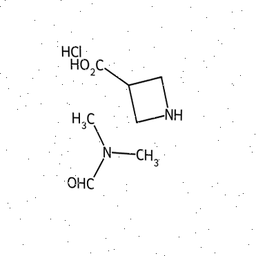 CN(C)C=O.Cl.O=C(O)C1CNC1